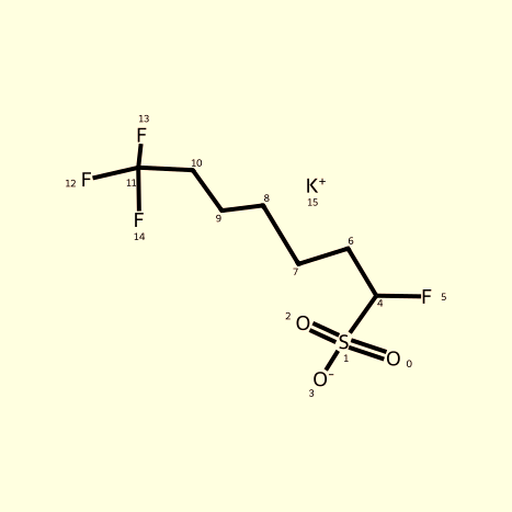 O=S(=O)([O-])C(F)CCCCCC(F)(F)F.[K+]